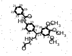 COc1cc(C(CNCC=O)c2ccc(NC(=O)c3ccccc3)cc2)cc(OC)c1OC